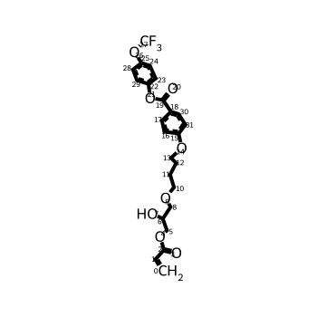 C=CC(=O)OCC(O)COCCCCOc1ccc(C(=O)Oc2ccc(OC(F)(F)F)cc2)cc1